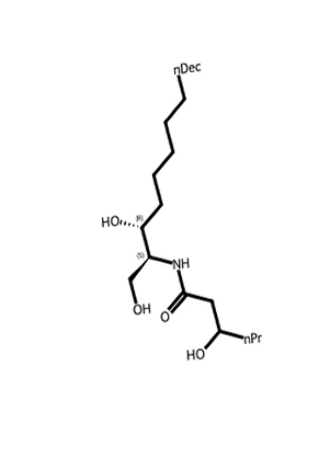 CCCCCCCCCCCCCCC[C@@H](O)[C@H](CO)NC(=O)CC(O)CCC